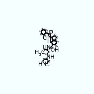 CCC(CCNC1=CCNC=C1)NC(O)c1ccc2c(c1)[C@H](NC(=O)c1ccccc1Cl)CC2